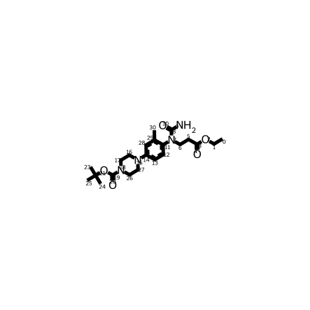 CCOC(=O)CCN(C(N)=O)c1ccc(N2CCN(C(=O)OC(C)(C)C)CC2)cc1C